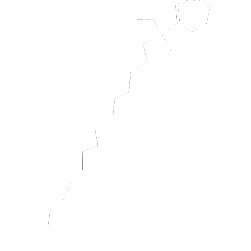 CCCCCCCCCCCCCC[N+](CC)(CC)c1ccccc1.[Cl-]